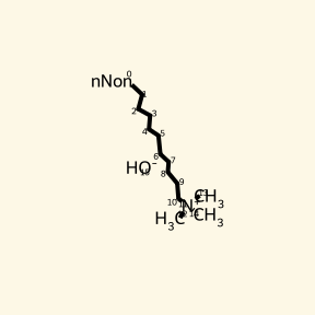 CCCCCCCCCCCCCCCCCCC[N+](C)(C)C.[OH-]